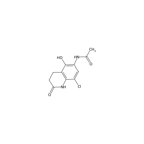 CC(=O)Nc1cc(Cl)c2c(c1O)CCC(=O)N2